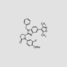 COc1ccc(N2C(=O)CC[C@H]2c2nc3cc(-c4c(C)noc4C)ccc3n2Cc2ccccc2)cc1F